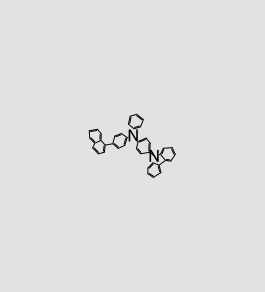 c1ccc(N(c2ccc(-c3cccc4ccccc34)cc2)c2ccc(-n3c4ccccc4c4ccccc43)cc2)cc1